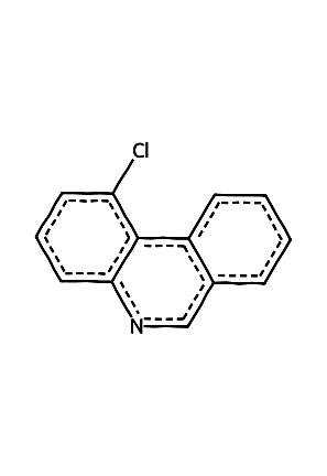 Clc1cccc2ncc3ccccc3c12